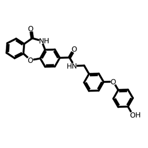 O=C(NCc1cccc(Oc2ccc(O)cc2)c1)c1ccc2c(c1)NC(=O)c1ccccc1O2